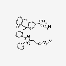 CC(C(=O)O)c1ccc2c(c1)Cc1cccnc1O2.O=C(O)CCc1nc(-c2ccccc2)c(-c2ccccc2)o1